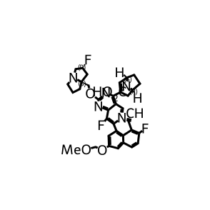 C#Cc1c(F)ccc2cc(OCOC)cc(-c3ncc4c(C5=C[C@@H]6CC[C@H](C5)N6C(=O)O)nc(OC[C@@]56CCCN5C[C@H](F)C6)nc4c3F)c12